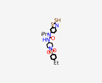 CCc1ccc(S(=O)(=O)N2CCC(NC(=O)N(c3ccc4nc(S)sc4c3)C(C)C)CC2)cc1